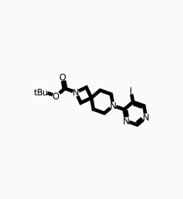 CC(C)(C)OC(=O)N1CC2(CCN(c3ncncc3I)CC2)C1